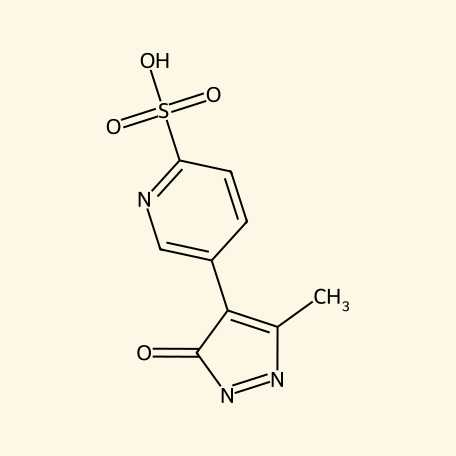 CC1=C(c2ccc(S(=O)(=O)O)nc2)C(=O)N=N1